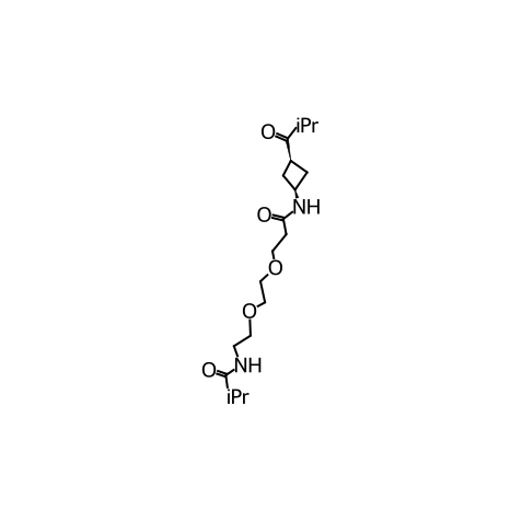 CC(C)C(=O)NCCOCCOCCC(=O)N[C@H]1C[C@@H](C(=O)C(C)C)C1